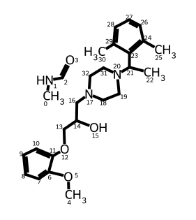 CNC=O.COc1ccccc1OCC(O)CN1CCN(C(C)c2c(C)cccc2C)CC1